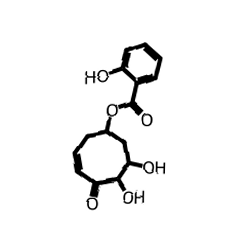 O=C(OC1CC=CC(=O)C(O)C(O)C1)c1ccccc1O